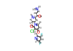 C=N/C(=C\C(=C(C)C)n1c(C)cc(OCc2ncc(F)cc2F)c(Cl)c1=O)C(=O)/C=C/N(C)C